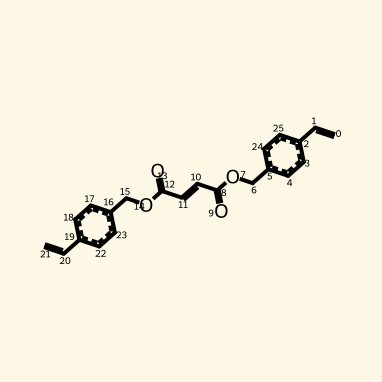 C=Cc1ccc(COC(=O)C=CC(=O)OCc2ccc(C=C)cc2)cc1